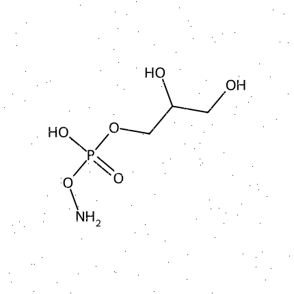 NOP(=O)(O)OCC(O)CO